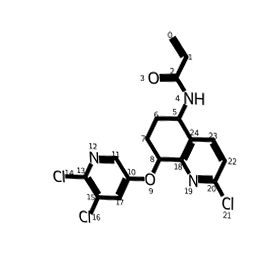 C=CC(=O)NC1CCC(Oc2cnc(Cl)c(Cl)c2)c2nc(Cl)ccc21